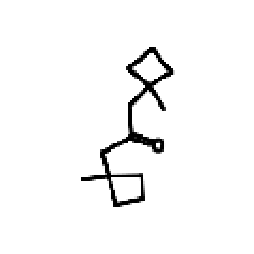 CC1(CC(=O)CC2(C)CCC2)CCC1